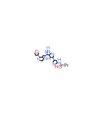 CCCC(O)Nc1cncc(-c2cnc3[nH]nc(-c4cc5c(-c6ccoc6)nccc5[nH]4)c3c2)c1